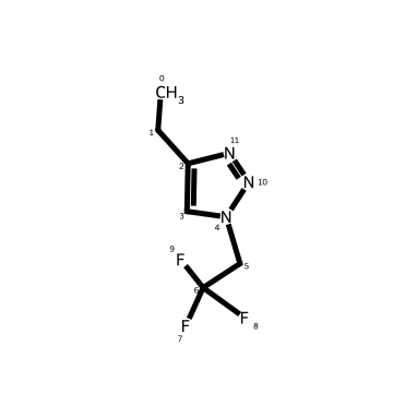 CCc1cn(CC(F)(F)F)nn1